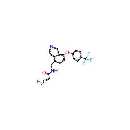 C=CC(=O)NCc1ccc(Oc2ccc(C(F)(F)F)cc2)c2cnccc12